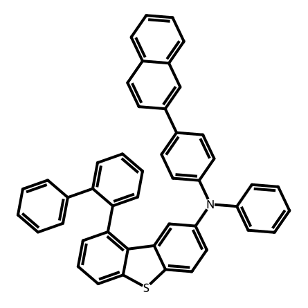 c1ccc(-c2ccccc2-c2cccc3sc4ccc(N(c5ccccc5)c5ccc(-c6ccc7ccccc7c6)cc5)cc4c23)cc1